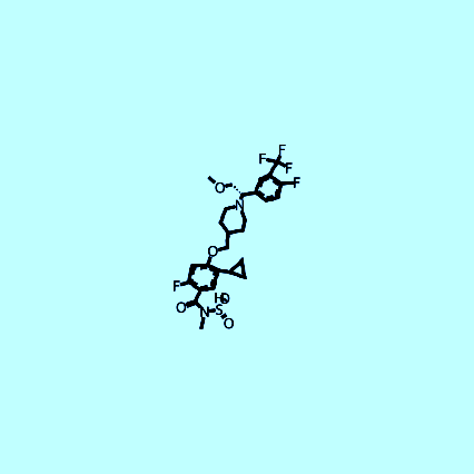 COC[C@H](c1ccc(F)c(C(F)(F)F)c1)N1CCC(COc2cc(F)c(C(=O)N(C)[SH](=O)=O)cc2C2CC2)CC1